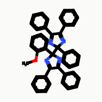 COc1ccccc1C1(C2(c3ccccc3)N=C(c3ccccc3)C(c3ccccc3)=N2)N=C(c2ccccc2)C(c2ccccc2)=N1